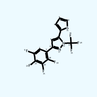 Fc1cc(-c2cc(-c3cccs3)n(C(F)(F)F)n2)c(F)c(F)c1F